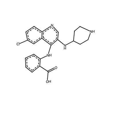 O=C(O)c1ccccc1Nc1c(NC2CCNCC2)cnc2ccc(Cl)cc12